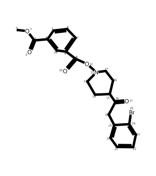 COC(=O)c1cccc(C(=O)ON2CCC(C(=O)Cc3ccccc3Br)CC2)c1